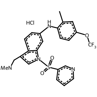 CNCc1cn(S(=O)(=O)c2cccnc2)c2cc(Nc3ccc(OC(F)(F)F)cc3C)ccc12.Cl